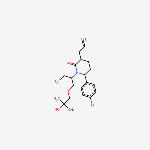 C=CCC1CCC(c2ccc(Cl)cc2)N(C(CC)COCC(C)(C)O)C1=O